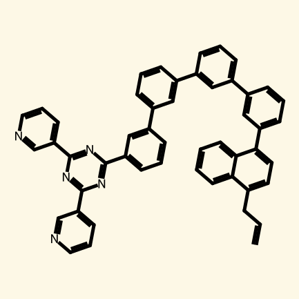 C=CCc1ccc(-c2cccc(-c3cccc(-c4cccc(-c5cccc(-c6nc(-c7cccnc7)nc(-c7cccnc7)n6)c5)c4)c3)c2)c2ccccc12